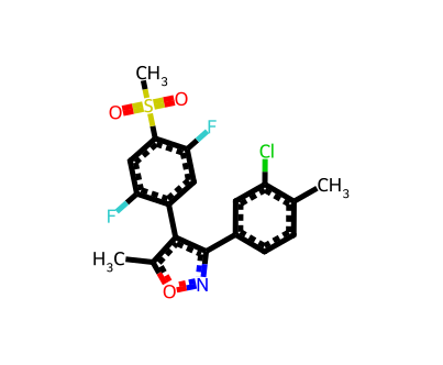 Cc1ccc(-c2noc(C)c2-c2cc(F)c(S(C)(=O)=O)cc2F)cc1Cl